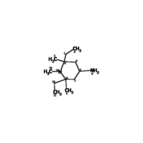 CCC1(C)CC(N)CC(C)(CC)N1C